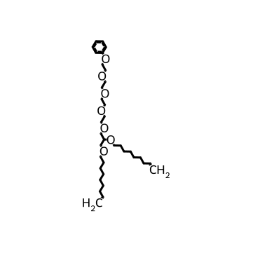 C=CCCCCCCCOCC(COCCOCCOCCOCCOc1ccccc1)OCCCCCCCC=C